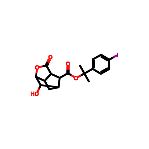 CC(C)(OC(=O)C1C2CC3C(OC(=O)C31)C2O)c1ccc(I)cc1